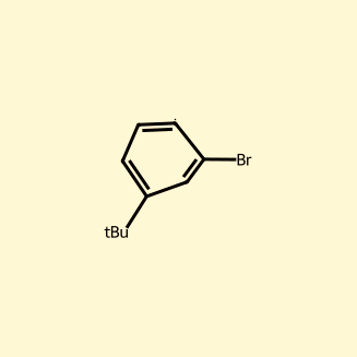 CC(C)(C)c1cc[c]c(Br)c1